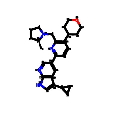 C[C@H]1CCCN1Cc1nc(-c2cnc3[nH]cc(C4CC4)c3c2)ccc1C1CCOCC1